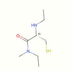 CCN[C@H](CS)C(=O)N(C)CC